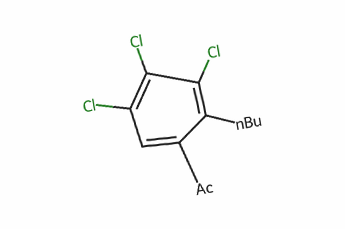 CCCCc1c(C(C)=O)cc(Cl)c(Cl)c1Cl